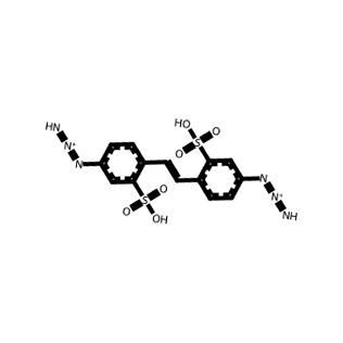 N=[N+]=Nc1ccc(/C=C/c2ccc(N=[N+]=N)cc2S(=O)(=O)O)c(S(=O)(=O)O)c1